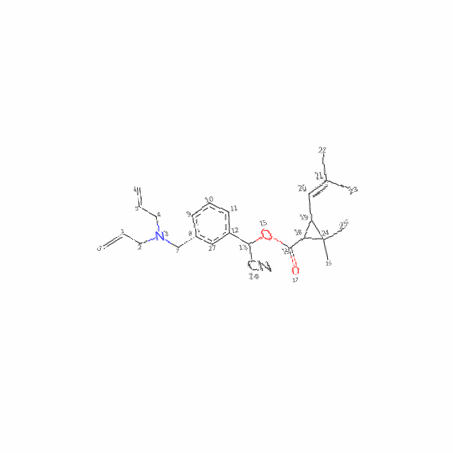 C=CCN(CC=C)Cc1cccc(C(C#N)OC(=O)C2C(C=C(C)C)C2(C)C)c1